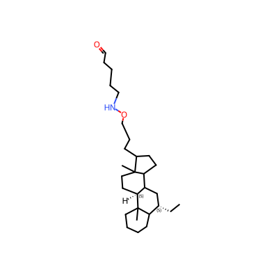 CC[C@H]1CC2C3CCC(CCCONCCCCC=O)C3(C)CC[C@@H]2C2(C)CCCCC12